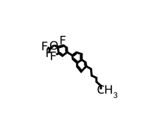 CCCCCCc1ccc2cc(-c3cc(F)c(OC(F)F)c(F)c3)ccc2c1